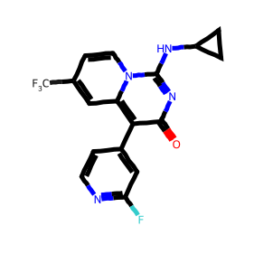 O=c1nc(NC2CC2)n2ccc(C(F)(F)F)cc2c1-c1ccnc(F)c1